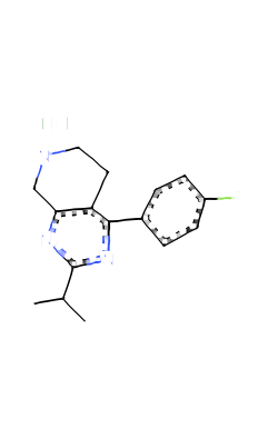 CC(C)c1nc2c(c(-c3ccc(F)cc3)n1)CCNC2.Cl